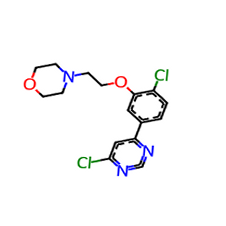 Clc1cc(-c2ccc(Cl)c(OCCN3CCOCC3)c2)ncn1